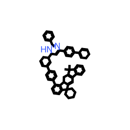 CC1(C)C2=C(C=C3C(C2)c2c(-c4ccc(C5=CC(C6C=C(c7ccc(C8=CCCC=C8)cc7)N=C(c7ccccc7)N6)CC=C5)cc4)cccc2C32CCCCC2)c2ccccc21